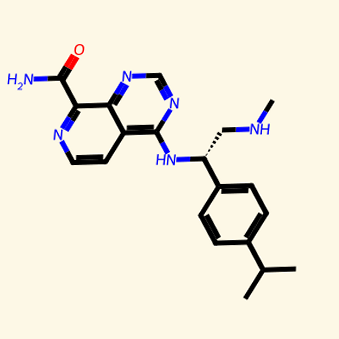 CNC[C@@H](Nc1ncnc2c(C(N)=O)nccc12)c1ccc(C(C)C)cc1